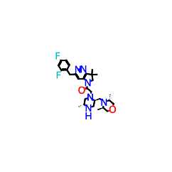 C[C@@H]1CN(CC(=O)N2CC(C)(C)c3nnc(Cc4ccc(F)cc4F)cc32)[C@@H](CN2[C@H](C)COC[C@H]2C)CN1